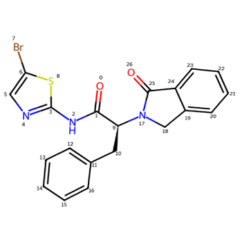 O=C(Nc1ncc(Br)s1)[C@H](Cc1ccccc1)N1Cc2ccccc2C1=O